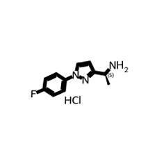 C[C@H](N)c1ccn(-c2ccc(F)cc2)n1.Cl